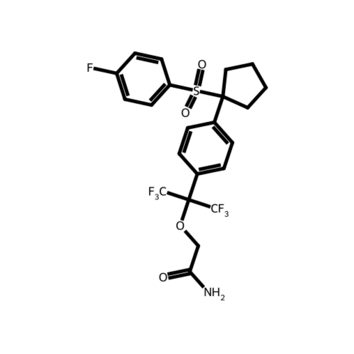 NC(=O)COC(c1ccc(C2(S(=O)(=O)c3ccc(F)cc3)CCCC2)cc1)(C(F)(F)F)C(F)(F)F